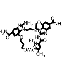 CCn1nc(C)cc1C(=O)Nc1nc2cc(C(N)=O)cc3c2n1[C@H](CCCn1c(N)nc2cc(C(N)=O)cc(OCCCOC)c21)CO3